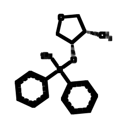 C[C@H]1COC[C@H]1O[Si](c1ccccc1)(c1ccccc1)C(C)(C)C